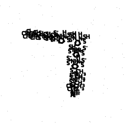 CN(C)C(=S)[S-].CN(C)C(=S)[S-].CN(C)C(=S)[S-].CN(C)C(=S)[S-].CP(Cl)(Cl)(Cl)Cl.CP(Cl)(Cl)(Cl)Cl.CP(Cl)(Cl)(Cl)Cl.S=C(S)Nc1ccccc1NC(=S)S.S=C([S-])Nc1ccccc1NC(=S)S.S=C([S-])Nc1ccccc1NC(=S)[S-].S=C([S-])Nc1ccccc1NC(=S)[S-].[Al+3].[Al+3].[Al+3]